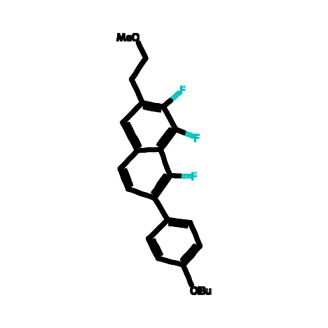 COCCc1cc2ccc(-c3ccc(OCC(C)C)cc3)c(F)c2c(F)c1F